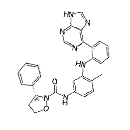 Cc1ccc(NC(=O)N2OCC[C@@H]2c2ccccc2)cc1Nc1ccccc1-c1ncnc2[nH]cnc12